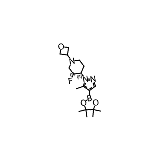 Cc1c(B2OC(C)(C)C(C)(C)O2)cnn1[C@@H]1CCN(C2COC2)C[C@@H]1F